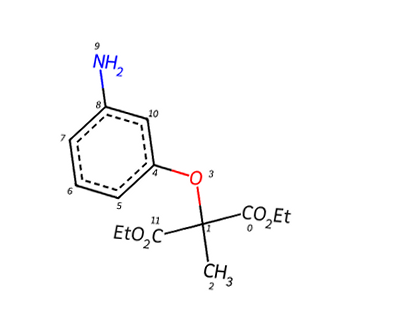 CCOC(=O)C(C)(Oc1cccc(N)c1)C(=O)OCC